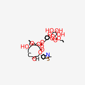 C=CCOC(=O)[C@H]1O[C@@H](Oc2ccc(COC(=O)O[C@H]3CC(=O)O[C@H](c4ccc5sc(C)nc5c4)C[C@@H]4O[C@]4(C)CCC[C@H](C)[C@H](O)[C@@H](CC=C)C(=O)C3(C)C)cc2OC)[C@H](O)[C@@H](O)[C@@H]1O